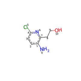 Nc1ccc(Cl)nc1CCO